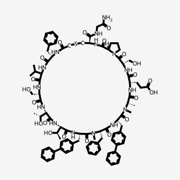 CC(C)C1NC(=O)[C@H](Cc2ccccc2)NC(=O)CSC[C@@H](C(=O)NCC(N)=O)NC(=O)[C@@H]2CCCN2C(=O)[C@H](CO)NC(=O)[C@H](CCC(=O)O)NC(=O)[C@H](C)N(C)C(=O)[C@H](Cc2ccc(-c3ccccc3)cc2)NC(=O)[C@H](Cc2ccccc2)N(C)C(=O)[C@H](Cc2ccc(-c3ccccc3)cc2)NC(=O)[C@H]([C@@H](C)O)NC(=O)[C@H]([C@@H](C)O)NC(=O)[C@H](CO)NC1=O